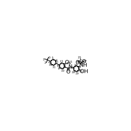 CC(C)(C)c1ccc(-c2ccc3c(c2)OCN(c2ccc(O)c(NS(C)(=O)=O)c2)C3=O)cc1